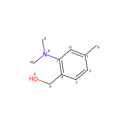 Cc1ccc(CO)c(N(C)C)c1